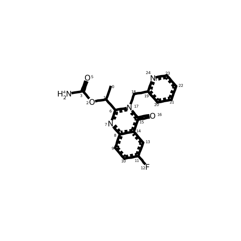 CC(OC(N)=O)c1nc2ccc(F)cc2c(=O)n1Cc1ccccn1